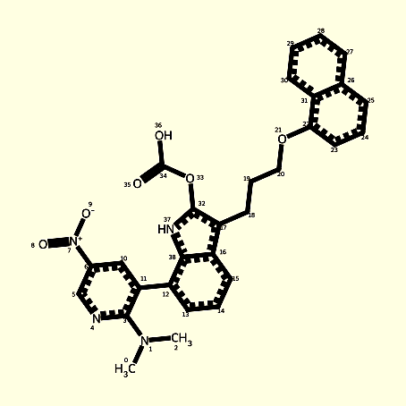 CN(C)c1ncc([N+](=O)[O-])cc1-c1cccc2c(CCCOc3cccc4ccccc34)c(OC(=O)O)[nH]c12